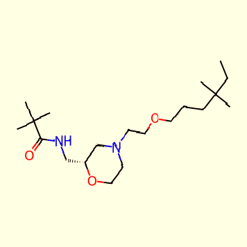 CCC(C)(C)CCCOCCN1CCO[C@H](CNC(=O)C(C)(C)C)C1